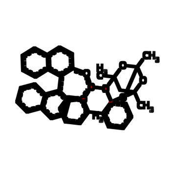 CC12CC3(C)OC(C)(CC(C)(O1)P3Oc1ccccc1-c1ccccc1Op1oc3ccc4ccccc4c3c3c(ccc4ccccc43)o1)O2